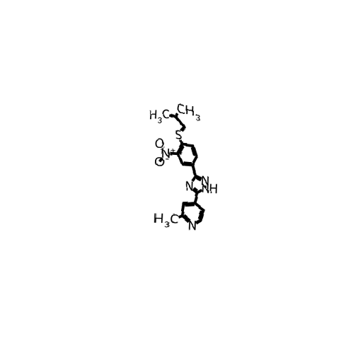 Cc1cc(-c2nc(-c3ccc(SCC(C)C)c([N+](=O)[O-])c3)n[nH]2)ccn1